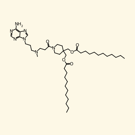 CCCCCCCCCCCC(=O)OCC1(COC(=O)CCCCCCCCCCC)CCN(C(=O)CCN(C)CCCn2cnc3c(N)ncnc32)CC1